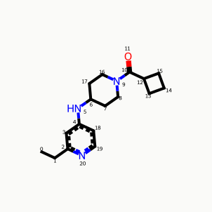 CCc1cc(NC2CCN(C(=O)C3CCC3)CC2)ccn1